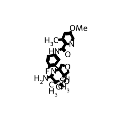 COc1cnc(C(=O)Nc2ccc(F)c([C@@]34COC[C@H]3S(=O)(=O)C(C)(C)C(N)=N4)c2)c(C)c1